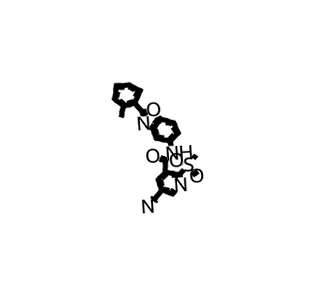 Cc1ccccc1-c1nc2cc(NC(=O)c3cc(C#N)cnc3S(C)(=O)=O)ccc2o1